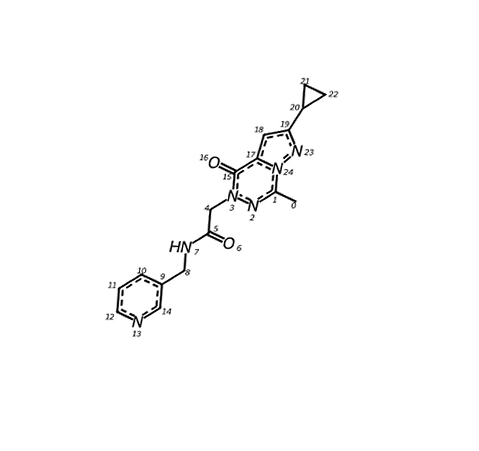 Cc1nn(CC(=O)NCc2cccnc2)c(=O)c2cc(C3CC3)nn12